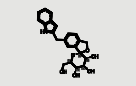 OC[C@H]1O[C@]2(OCc3ccc(Cc4cc5ccccc5[nH]4)cc32)[C@H](O)[C@@H](O)[C@@H]1O